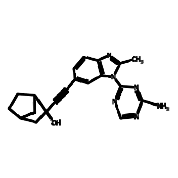 Cc1nc2ccc(C#CC3(O)CC4CCC3C4)cc2n1-c1ncnc(N)n1